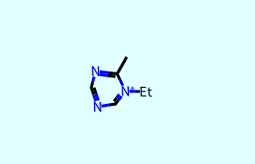 CC[n+]1cncnc1C